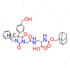 CC1(c2ccc(CO)cc2)C(=O)N(CC(=O)NCC(NC(=O)OCC23CC4CC(CC(C4)C2)C3)C(=O)O)C(=O)N1Cc1ccccc1